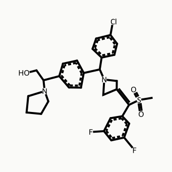 CS(=O)(=O)C(=C1CN(C(c2ccc(Cl)cc2)c2ccc(C(CO)N3CCCC3)cc2)C1)c1cc(F)cc(F)c1